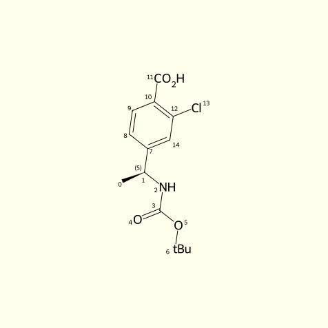 C[C@H](NC(=O)OC(C)(C)C)c1ccc(C(=O)O)c(Cl)c1